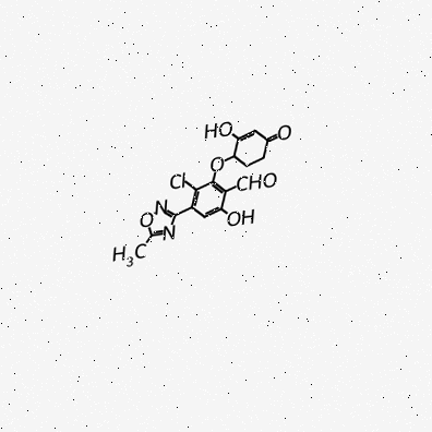 Cc1nc(-c2cc(O)c(C=O)c(OC3CCC(=O)C=C3O)c2Cl)no1